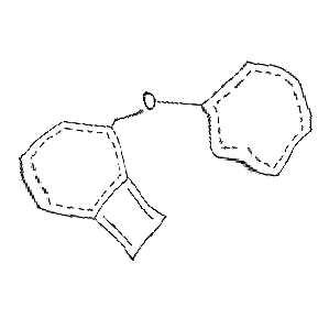 C1=c2cccc(Oc3ccccc3)c2=C1